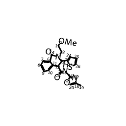 COCCN1C(=O)c2ccccc2C(C(=O)Nc2nc(C)co2)C1c1cccs1